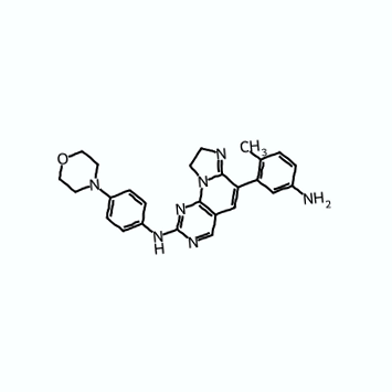 Cc1ccc(N)cc1C1=Cc2cnc(Nc3ccc(N4CCOCC4)cc3)nc2N2CCN=C12